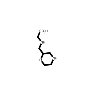 O=C(O)CNCC1CNCCO1